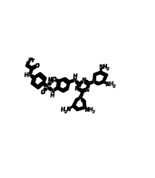 CC(C)CC(=O)Nc1ccc(S(=O)(=O)Nc2ccc(Nc3nc(N4C[C@H](N)C[C@H](N)C4)nc(N4C[C@H](N)C[C@H](N)C4)n3)cc2O)cc1